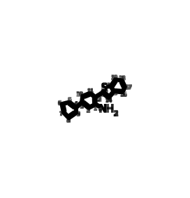 Nc1cc(-c2ccccc2)ccc1-c1cc2ccccc2s1